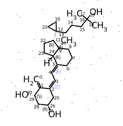 C=C1/C(=C\C=C2/CCC[C@]3(C)[C@@H](C4(CCCC(C)(C)O)CC4)CC[C@@H]23)C[C@@H](O)C[C@@H]1O